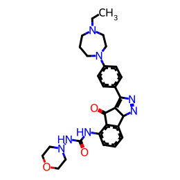 CCN1CCCN(c2ccc(C3=C4C(=O)c5c(NC(=O)NN6CCOCC6)cccc5C4N=N3)cc2)CC1